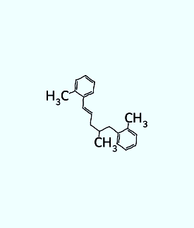 Cc1ccccc1C=CCC(C)Cc1ccccc1C